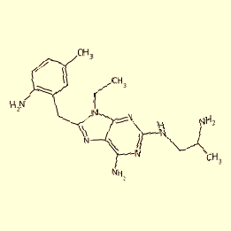 CCn1c(Cc2cc(C)ccc2N)nc2c(N)nc(NCC(C)N)nc21